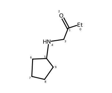 CCC(=O)CNC1CCCC1